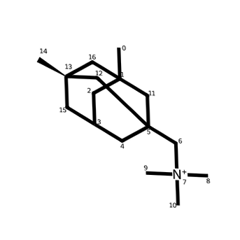 CC12CC3CC(C[N+](C)(C)C)(C1)C[C@](C)(C3)C2